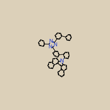 c1ccc(-c2cccc(-c3nc(-c4ccccc4)nc(-c4cccc(-c5ccccc5-n5c6ccc7ccccc7c6c6c7ccccc7ccc65)c4)n3)c2)cc1